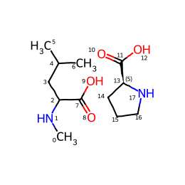 CNC(CC(C)C)C(=O)O.O=C(O)[C@@H]1CCCN1